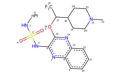 CCCNS(=O)(=O)Nc1nc2ccccc2nc1OC(C1CCN(C)CC1)C(F)(F)F